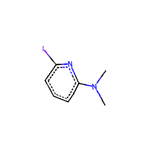 CN(C)c1cccc(I)n1